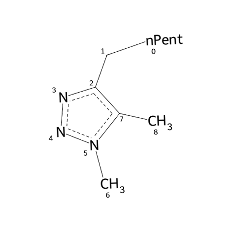 CCCCCCc1nnn(C)c1C